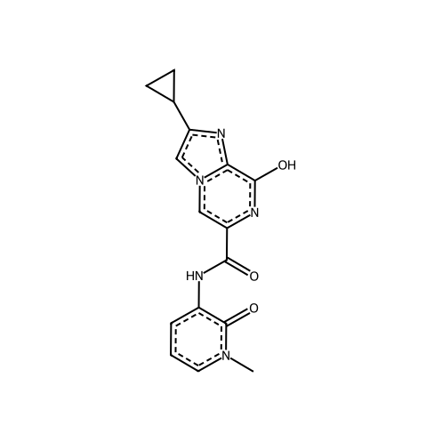 Cn1cccc(NC(=O)c2cn3cc(C4CC4)nc3c(O)n2)c1=O